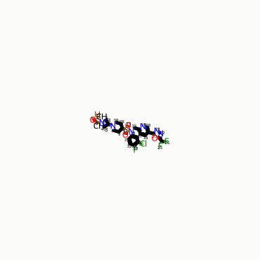 C[SH](C)(=O)N1CC(N2CCC(S(=O)(=O)N(Cc3ccc(-c4nnc(C(F)F)o4)cn3)c3ccc(F)c(Cl)c3)CC2)C1